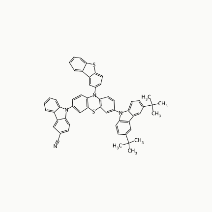 CC(C)(C)c1ccc2c(c1)c1cc(C(C)(C)C)ccc1n2-c1ccc2c(c1)Sc1cc(-n3c4ccccc4c4cc(C#N)ccc43)ccc1N2c1ccc2sc3ccccc3c2c1